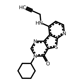 C#CCNc1ccnc2sc3c(=O)n(C4CCCCC4)cnc3c12